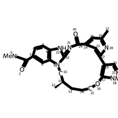 CNC(=O)c1ccc2c(c1)N1C[C@H](C)CCCO/C(NC)=C(/C=N)c3cc(cc(C)n3)C(=O)/N=C/1N2